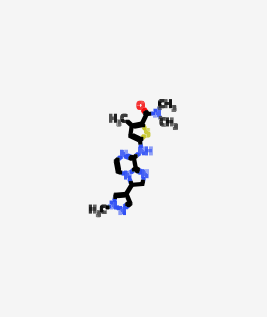 Cc1cc(NC2=NC=CN3C2=NCC3c2cnn(C)c2)sc1C(=O)N(C)C